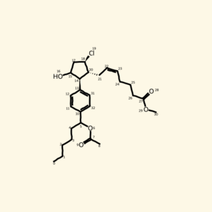 CCCCCC(OC(C)=O)c1ccc([C@H]2C(O)C[C@@H](Cl)[C@@H]2C/C=C\CCCC(=O)OC)cc1